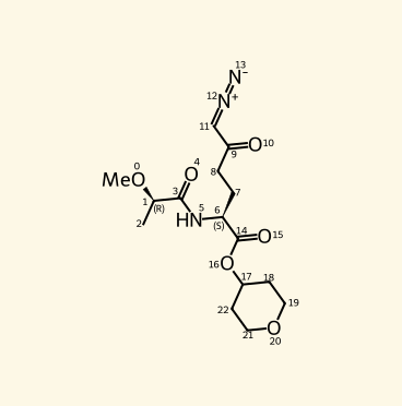 CO[C@H](C)C(=O)N[C@@H](CCC(=O)C=[N+]=[N-])C(=O)OC1CCOCC1